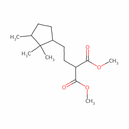 COC(=O)C(CCC1CCC(C)C1(C)C)C(=O)OC